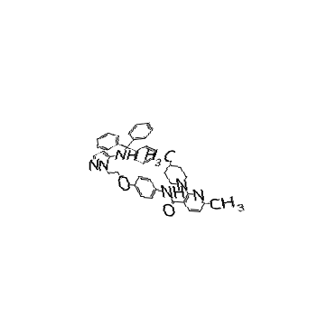 Cc1ccc(C(=O)Nc2ccc(OCCn3nccc3NC(c3ccccc3)(c3ccccc3)c3ccccc3)cc2)c(N2CCC(C)CC2)n1